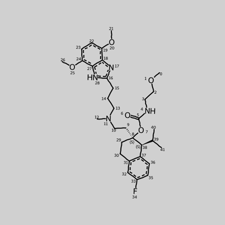 COCCNC(=O)O[C@]1(CCN(C)CCCc2nc3c(OC)ccc(OC)c3[nH]2)CCc2cc(F)ccc2[C@@H]1C(C)C